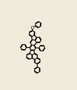 c1ccc(Oc2ccc3c(c2)c2cccc4c5c(-c6ccccc6)c6c7cc8ccc(-c9ccccc9)cc8c8cccc(c6c(-c6ccccc6)c5cc3c24)c87)cc1